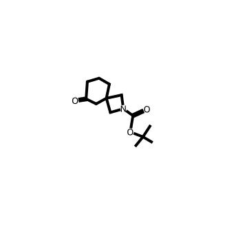 CC(C)(C)OC(=O)N1CC2(CCCC(=O)C2)C1